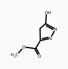 COC(=O)C1=NN=C(O)C1